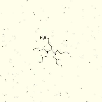 BCCCC(N(CCCC)CCCC)N(CCCC)CCCC